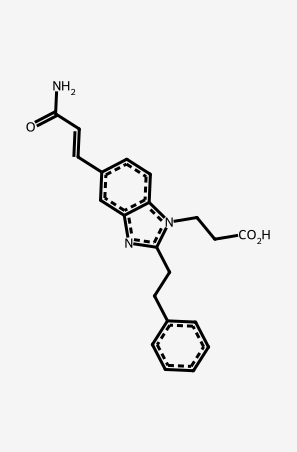 NC(=O)C=Cc1ccc2c(c1)nc(CCc1ccccc1)n2CCC(=O)O